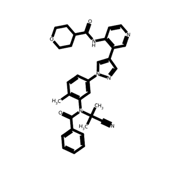 Cc1ccc(-n2cc(-c3cnccc3NC(=O)C3CCOCC3)cn2)cc1N(C(=O)c1ccccc1)C(C)(C)C#N